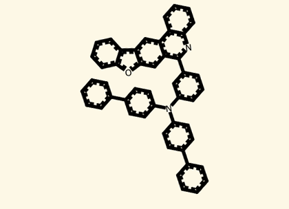 c1ccc(-c2ccc(N(c3ccc(-c4ccccc4)cc3)c3cccc(-c4nc5ccccc5c5cc6c(cc45)oc4ccccc46)c3)cc2)cc1